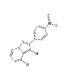 O=[N+]([O-])c1ccc(-c2nn3ccnc(Cl)c3c2Br)cc1